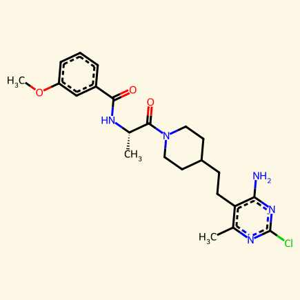 COc1cccc(C(=O)N[C@@H](C)C(=O)N2CCC(CCc3c(C)nc(Cl)nc3N)CC2)c1